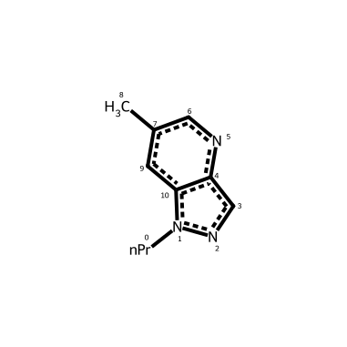 CCCn1ncc2ncc(C)cc21